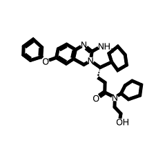 NC1=Nc2ccc(Oc3ccccc3)cc2CN1[C@@H](CCC(=O)N(CCO)C1CCCCC1)C1CCCCC1